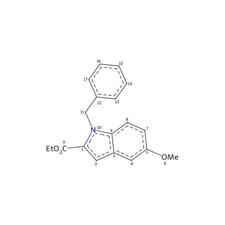 CCOC(=O)c1cc2cc(OC)ccc2n1Cc1ccccc1